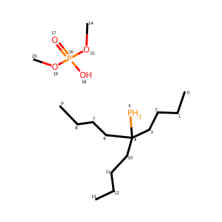 CCCCC(P)(CCCC)CCCC.COP(=O)(O)OC